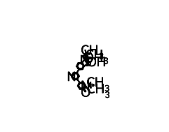 CC(C)CN1c2ccc(-c3cncc(-c4ccc(=O)n(C(C)C)c4)c3)cc2CS1(O)O